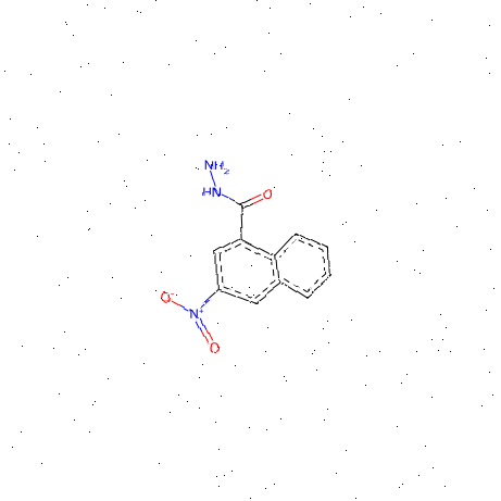 NNC(=O)c1cc([N+](=O)[O-])cc2ccccc12